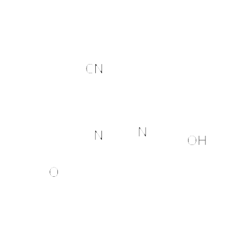 CC(C#N)n1nc(O)ccc1=O